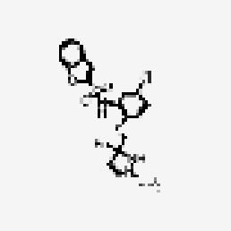 CC(C)(C)C1(CSc2ccc(Cl)cc2NS(=O)(=O)c2cc3ccccc3o2)C=CN(C(=O)O)N1